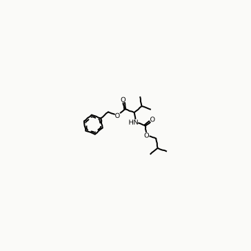 CC(C)COC(=O)NC(C(=O)OCc1ccccc1)C(C)C